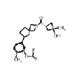 Cc1ccc(C2CCC3(C2)CN(C(=O)[C@H]2C[C@@](C)(O)C2)C3)cc1OC(F)F